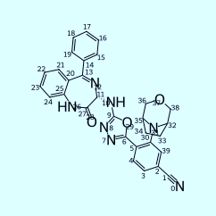 N#Cc1ccc(-c2nnc(N[C@H]3N=C(c4ccccc4)c4ccccc4NC3=O)o2)c(N2C3CCC2COC3)c1